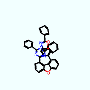 c1ccc(-c2nc(-c3ccccc3)nc(-c3cccc4oc5cccc(-c6ccc7nc(-c8ccccc8)oc7c6)c5c34)n2)cc1